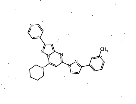 Cc1cccc(-c2ccn(-c3cc(N4CCCCC4)n4nc(-c5ccncc5)cc4n3)n2)c1